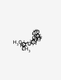 Cc1cc(CO[C@H]2CCN(Cc3nc4c(cc3F)OCCO4)[C@@H](C)C2)cc(C)n1